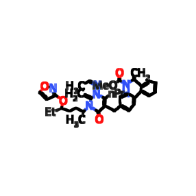 C=C(NC(=O)OC)c1ccccc1-c1ccc(CC2=C(CCC)N(/N=C\C)C(=C)N([C@@H](C)CC[C@@H](CC)Oc3ccon3)C2=O)cc1